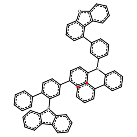 c1ccc(-c2ccccc2N(c2ccc(-c3ccc(-c4ccccc4)c(-n4c5ccccc5c5ccccc54)c3)cc2)c2cccc(-c3cccc4oc5ccccc5c34)c2)cc1